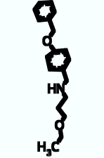 CCOCCCNCc1ccc(OCc2ccccc2)cc1